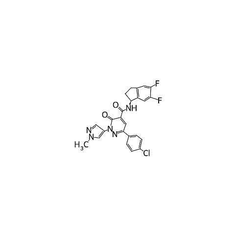 Cn1cc(-n2nc(-c3ccc(Cl)cc3)cc(C(=O)N[C@H]3CCc4cc(F)c(F)cc43)c2=O)cn1